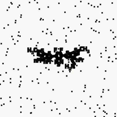 CCC[Si]1(CCC)c2cc(C)sc2-c2sc(-c3c(F)c(F)c(-c4cc5c(s4)-c4sc(C)cc4[Si]5(CCC)CCN)c4nsnc34)cc21